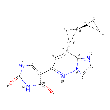 O=c1[nH]cc(-c2cc([C@@H]3C[C@H]3C3CC3)c3nccn3n2)c(=O)[nH]1